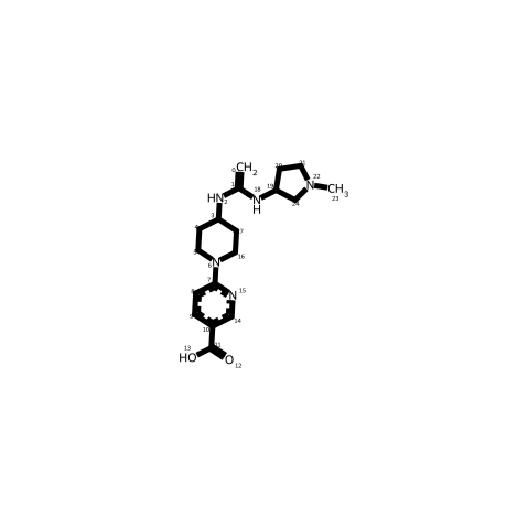 C=C(NC1CCN(c2ccc(C(=O)O)cn2)CC1)NC1CCN(C)C1